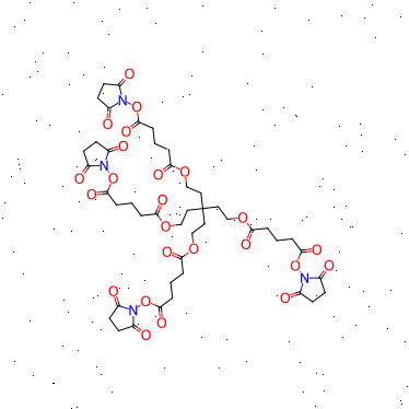 O=C(CCCC(=O)ON1C(=O)CCC1=O)OCCC(CCOC(=O)CCCC(=O)ON1C(=O)CCC1=O)(CCOC(=O)CCCC(=O)ON1C(=O)CCC1=O)CCOC(=O)CCCC(=O)ON1C(=O)CCC1=O